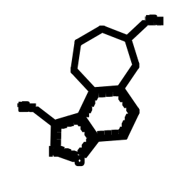 CC(C)(C)c1noc2ccc3c(c12)CCCC(C(C)(C)C)C3